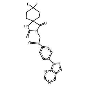 O=C(CN1C(=O)NC2(CCC(F)(F)CC2)C1=O)c1ccc(-n2cnc3cncnc32)cc1